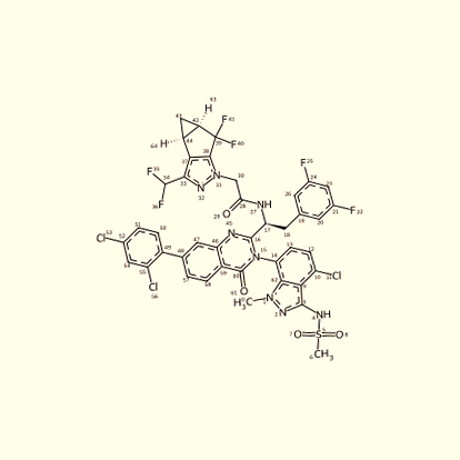 Cn1nc(NS(C)(=O)=O)c2c(Cl)ccc(-n3c([C@H](Cc4cc(F)cc(F)c4)NC(=O)Cn4nc(C(F)F)c5c4C(F)(F)[C@@H]4C[C@H]54)nc4cc(-c5ccc(Cl)cc5Cl)ccc4c3=O)c21